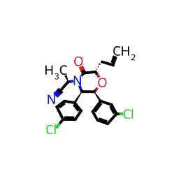 C=CC[C@@H]1O[C@@H](c2cccc(Cl)c2)[C@@H](c2ccc(Cl)cc2)N([C@H](C)C#N)C1=O